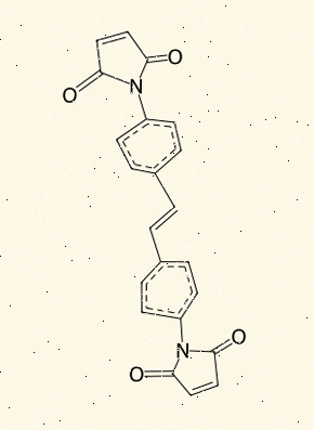 O=C1C=CC(=O)N1c1ccc(C=Cc2ccc(N3C(=O)C=CC3=O)cc2)cc1